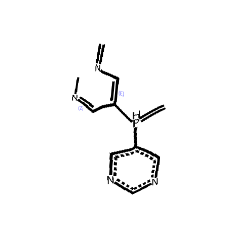 C=N/C=C(\C=N/C)[PH](=C)c1cncnc1